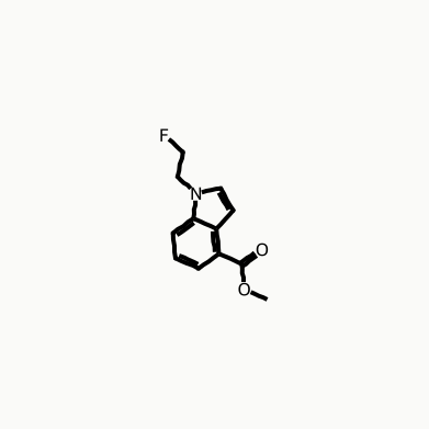 COC(=O)c1cccc2c1ccn2CCF